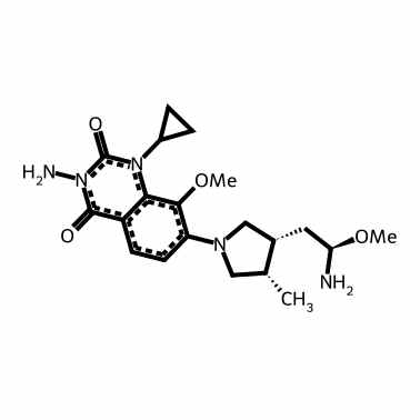 COc1c(N2C[C@H](C[C@H](N)OC)[C@H](C)C2)ccc2c(=O)n(N)c(=O)n(C3CC3)c12